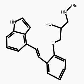 CC(C)(C)NCC(O)COc1ccccc1C=Cc1cccc2[nH]ccc12